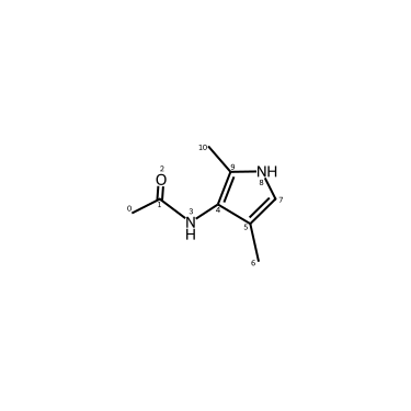 CC(=O)Nc1c(C)c[nH]c1C